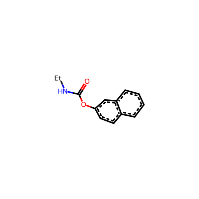 CCNC(=O)Oc1ccc2ccccc2c1